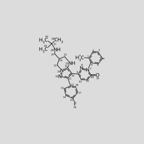 Cc1ccccc1-n1nc(-c2c(-c3ccc(F)cc3)nn3c2NCC(CNC(C)(C)C)C3)ccc1=O